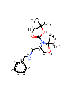 CC(C)(C)OC(=O)N1[C@H](CNCc2ccccc2)COC1(C)C